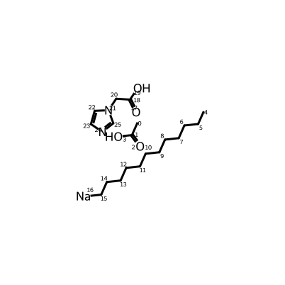 CC(=O)O.CCCCCCCCCCC[CH2][Na].O=C(O)Cn1ccnc1